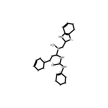 NN(CC1NC2=C(CCC=C2)S1)C(CCC1CC=CCC1)NC(Cl)NC1=CCCCC1